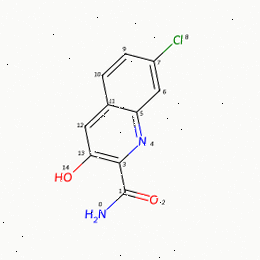 NC(=O)c1nc2cc(Cl)ccc2cc1O